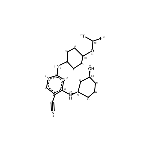 N#Cc1cnc(NC2CCC(OC(F)F)CC2)nc1N[C@@H]1CCC[C@H](O)C1